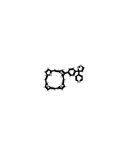 C1=CC(c2ccncc2)(c2ccc(C3=CC4=CC5=NC(=CC6=NC(=CC7=NC(=CC3=N4)C=C7)C=C6)C=C5)cc2)N=N1